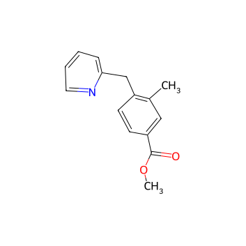 COC(=O)c1ccc(Cc2ccccn2)c(C)c1